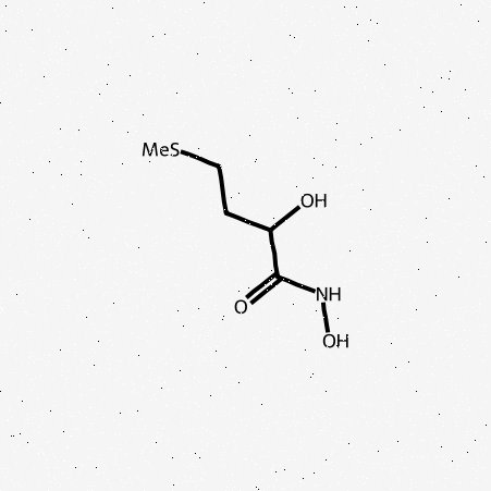 CSCCC(O)C(=O)NO